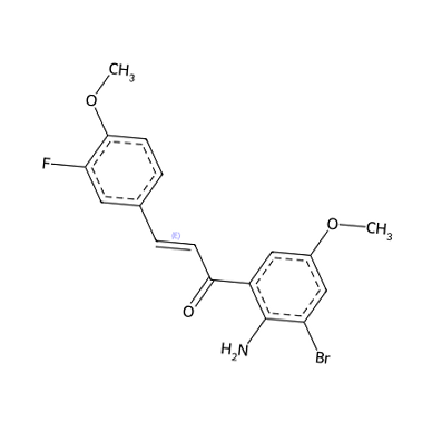 COc1cc(Br)c(N)c(C(=O)/C=C/c2ccc(OC)c(F)c2)c1